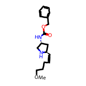 COCCC/C=C\[C@@H]1C[C@@H](NC(=O)OCc2ccccc2)CN1